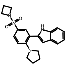 O=S(=O)(c1ccc(N2CCCC2)c(-c2cc3ccccc3[nH]2)c1)N1CCC1